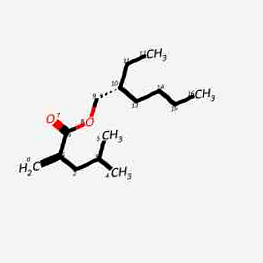 C=C(CC(C)C)C(=O)OC[C@H](CC)CCCC